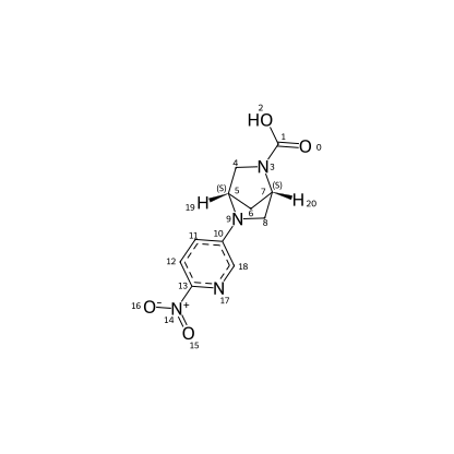 O=C(O)N1C[C@@H]2C[C@H]1CN2c1ccc([N+](=O)[O-])nc1